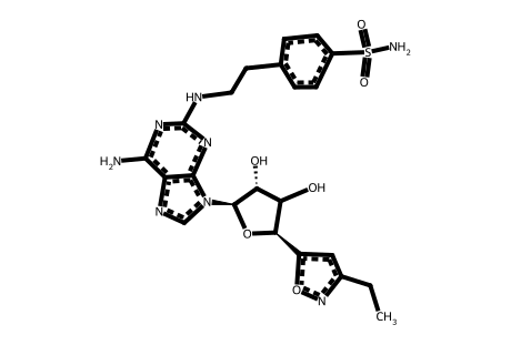 CCc1cc([C@H]2O[C@@H](n3cnc4c(N)nc(NCCc5ccc(S(N)(=O)=O)cc5)nc43)[C@H](O)C2O)on1